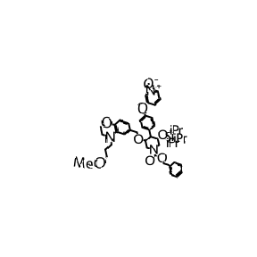 COCCCN1CCOc2ccc(COC3CN(C(=O)OCc4ccccc4)CC(O[Si](C(C)C)(C(C)C)C(C)C)C3c3ccc(Oc4ccc[n+]([O-])c4)cc3)cc21